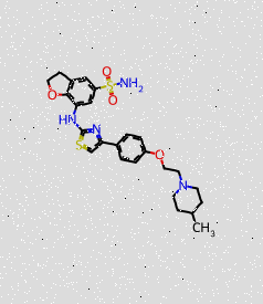 CC1CCN(CCOc2ccc(-c3csc(Nc4cc(S(N)(=O)=O)cc5c4OCC5)n3)cc2)CC1